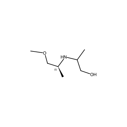 COC[C@H](C)NC(C)CO